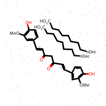 CCCCCCCCCCCCCCCCCC(=O)O.CCCCCCCCCCCCCCCCCC(=O)O.COc1cc(/C=C/C(=O)CC(=O)/C=C/c2ccc(O)c(OC)c2)ccc1O